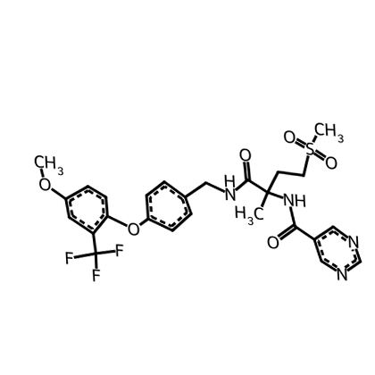 COc1ccc(Oc2ccc(CNC(=O)C(C)(CCS(C)(=O)=O)NC(=O)c3cncnc3)cc2)c(C(F)(F)F)c1